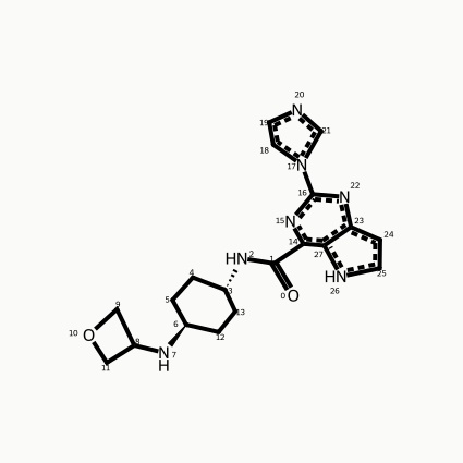 O=C(N[C@H]1CC[C@H](NC2COC2)CC1)c1nc(-n2ccnc2)nc2cc[nH]c12